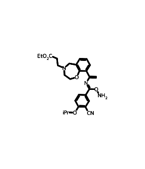 C=C(/N=C(\ON)c1ccc(OC(C)C)c(C#N)c1)c1cccc2c1OCCN(CCC(=O)OCC)C2